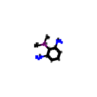 CC(C)P(c1c(N)cccc1N)C(C)C